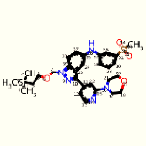 C[Si](C)(C)CCOCn1nc(-c2ccnc(N3CCOCC3)c2)c2cc(Nc3cccc(S(C)(=O)=O)c3)ccc21